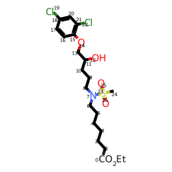 CCOC(=O)CCCCCCN(CCCC(O)COc1ccc(Cl)cc1Cl)S(C)(=O)=O